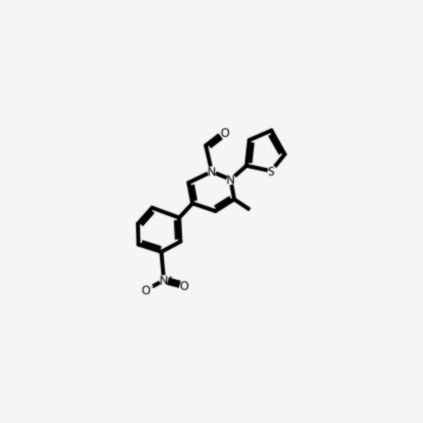 CC1=CC(c2cccc([N+](=O)[O-])c2)=CN(C=O)N1c1cccs1